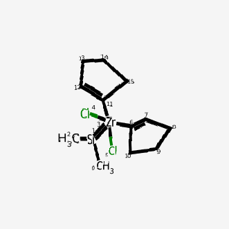 C[Si](C)=[Zr]([Cl])([Cl])([C]1=CCCC1)[C]1=CCCC1